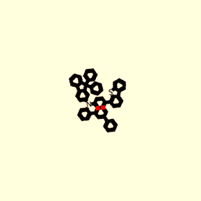 c1ccc(-c2cccc(-c3ccccc3N(c3ccc(-c4cccc5c4sc4ccccc45)cc3)c3ccc4c(c3)C(c3ccccc3)(c3ccccc3)c3ccccc3-4)c2)cc1